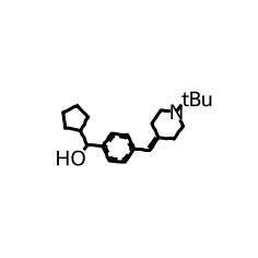 CC(C)(C)N1CCC(=Cc2ccc(C(O)C3CCCC3)cc2)CC1